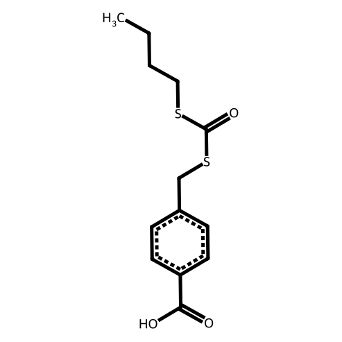 CCCCSC(=O)SCc1ccc(C(=O)O)cc1